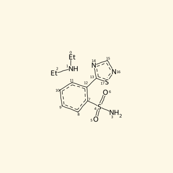 CCNCC.NS(=O)(=O)c1ccccc1-c1ncns1